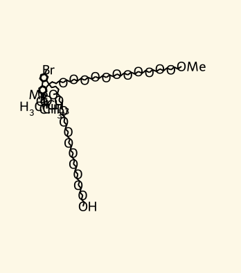 COCCOCCOCCOCCOCCOCCOCCOCCOCCOCCOCCOCCCC1(CCCC(COCCOCCOCCOCCOCCOCCOCCOCCOCCOCCO)OC)c2cc(Br)ccc2-c2ccc(B3OC(C)(C)C(C)(C)O3)cc21